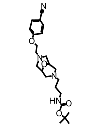 CC(C)(C)OC(=O)NCCCN1CC2CN(CCOc3ccc(C#N)cc3)CC(C1)O2